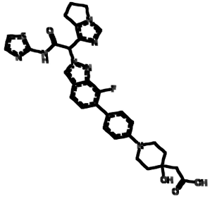 O=C(O)CC1(O)CCN(c2ccc(-c3ccc4cn(C(C(=O)Nc5nccs5)c5ncn6c5CCC6)nc4c3F)cc2)CC1